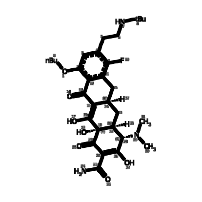 CCCCOc1cc(CCNC(C)(C)C)c(F)c2c1C(=O)C1=C(O)[C@]3(O)C(=O)C(C(N)=O)=C(O)[C@@H](N(C)C)[C@@H]3C[C@@H]1C2